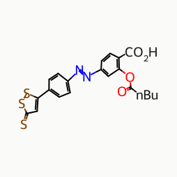 CCCCC(=O)Oc1cc(N=Nc2ccc(-c3cc(=S)ss3)cc2)ccc1C(=O)O